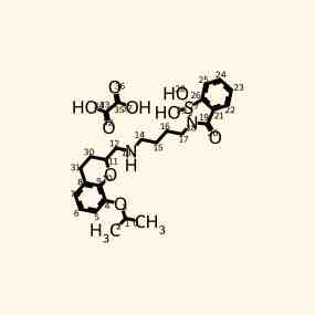 CC(C)Oc1cccc2c1OC(CNCCCCN1C(=O)c3ccccc3S1(O)O)CC2.O=C(O)C(=O)O